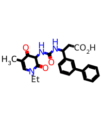 CCN1C=C(C)C(=O)C(NC(=O)NC(CC(=O)O)c2cccc(-c3ccccc3)c2)C1=O